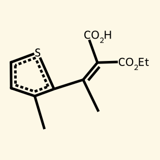 CCOC(=O)C(C(=O)O)=C(C)c1sccc1C